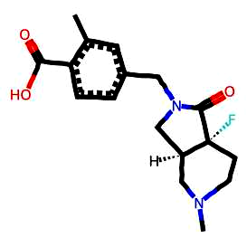 Cc1cc(CN2C[C@@H]3CN(C)CC[C@]3(F)C2=O)ccc1C(=O)O